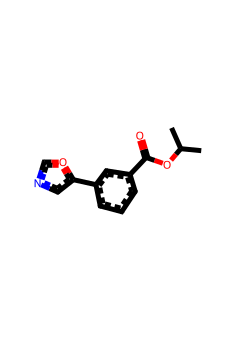 CC(C)OC(=O)c1cccc(-c2cnco2)c1